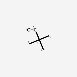 [CH2]C(C)(C)[C]=O